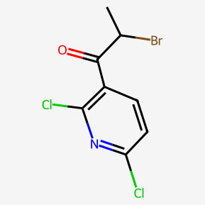 CC(Br)C(=O)c1ccc(Cl)nc1Cl